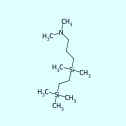 CN(C)CCC[Si](C)(C)CC[Si](C)(C)C